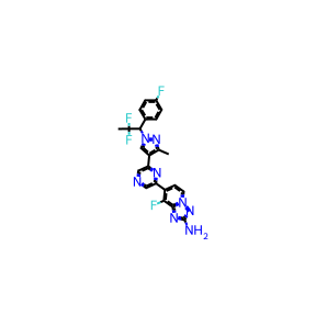 Cc1nn(C(c2ccc(F)cc2)C(C)(F)F)cc1-c1cncc(-c2ccn3nc(N)nc3c2F)n1